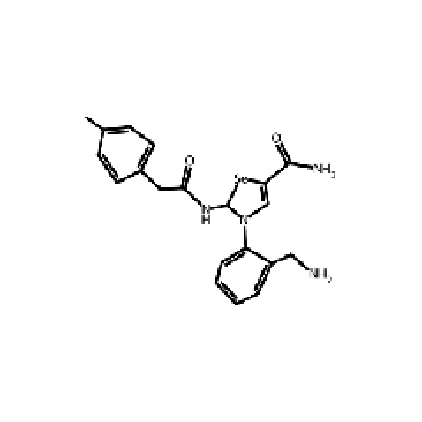 Cc1ccc(CC(=O)NC2[Se]C(C(N)=O)=CN2c2ccccc2CN)cc1